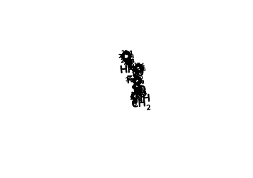 C=C1CCC(N2Cc3c(ccc(C[C@H]4OCCC[C@@H]4NC4CC5(CCCCC5)C4)c3F)C2=O)C(=O)N1